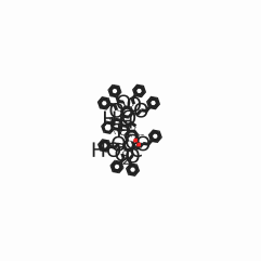 C[C@H](CCC(=O)O)[C@H]1CC[C@H]2[C@@H]3[C@@H](C4O[C@H](COCc5ccccc5)[C@@H](OCc5ccccc5)[C@H](OCc5ccccc5)[C@H]4OCc4ccccc4)C[C@@H]4CCCC[C@]4(C)[C@H]3C[C@@H]([C@@H]3O[C@H](COCc4ccccc4)[C@@H](OCc4ccccc4)[C@H](OCc4ccccc4)[C@H]3OCc3ccccc3)[C@]12C